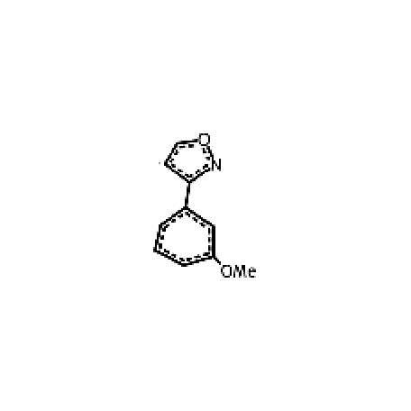 COc1cccc(-c2[c]con2)c1